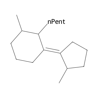 CCCCCC1C(=C2CCCC2C)CCCC1C